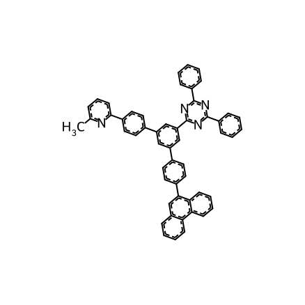 Cc1cccc(-c2ccc(-c3cc(-c4ccc(-c5cc6ccccc6c6ccccc56)cc4)cc(-c4nc(-c5ccccc5)nc(-c5ccccc5)n4)c3)cc2)n1